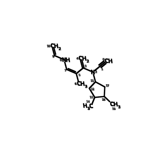 C#CN(C(=C)/C(C)=C\NC=C)C1CC(C)C(C)C1